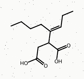 CC/C=C(\CCCC)C(CC(=O)O)C(=O)O